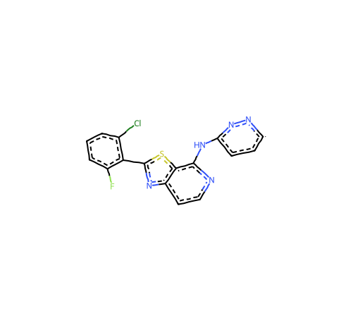 Fc1cccc(Cl)c1-c1nc2ccnc(Nc3cc[c]nn3)c2s1